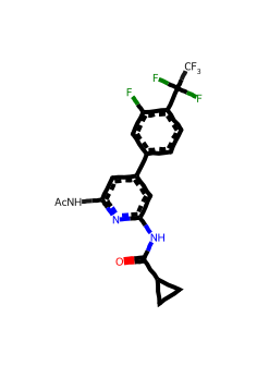 CC(=O)Nc1cc(-c2ccc(C(F)(F)C(F)(F)F)c(F)c2)cc(NC(=O)C2CC2)n1